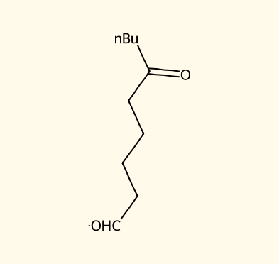 CCCCC(=O)CCCC[C]=O